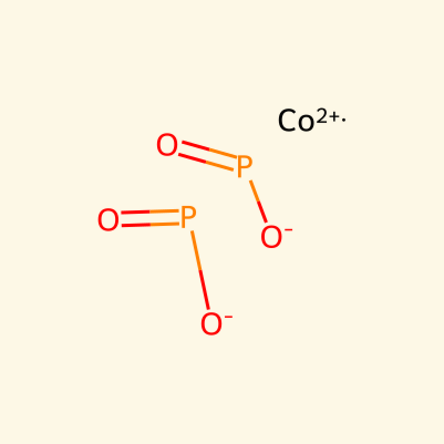 O=P[O-].O=P[O-].[Co+2]